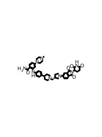 CN1CCN(c2ccc(C(N)=O)c(Nc3ccc(C4CCN(C[C@H]5CCN(c6ccc7c(c6)C(=O)N(C6CCC(=O)NC6=O)C7=O)C5)CC4)cc3)c2)CC1